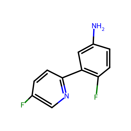 Nc1ccc(F)c(-c2ccc(F)cn2)c1